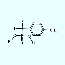 CCOP(=O)(OCC)C(F)(F)c1ccc(C)cc1